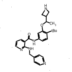 CC(Oc1cc(NC(=O)c2cccnc2NCc2ccncc2)ccc1C(C)(C)C)C1CNC1